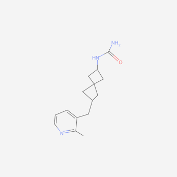 Cc1ncccc1CC1CC2(C1)CC(NC(N)=O)C2